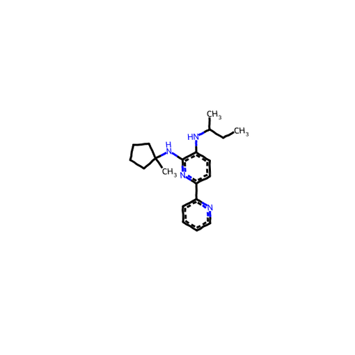 CCC(C)Nc1ccc(-c2ccccn2)nc1NC1(C)CCCC1